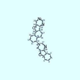 c1ccc2c(c1)oc1c[n+](-c3cccc4c3ccc3c5ncncc5oc43)cnc12